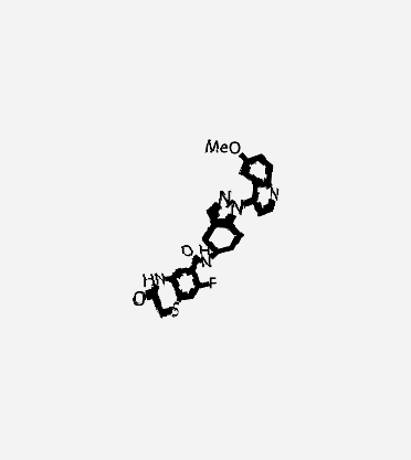 COc1ccc2nccc(-n3ncc4c3CCC(NC(=O)c3cc5c(cc3F)SCC(=O)N5)C4)c2c1